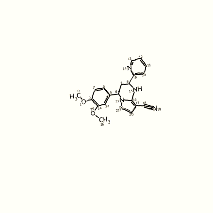 COc1ccc(C2CC(c3ccccn3)Nc3c(C#N)cnn32)cc1OC